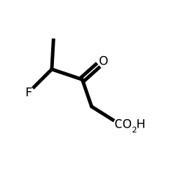 CC(F)C(=O)CC(=O)O